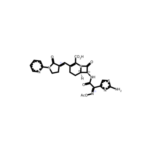 CC(=O)O/N=C(\C(=O)N[C@@H]1C(=O)N2C(C(=O)O)=C(/C=C3\CCN(c4ccccn4)C3=O)CC[C@H]12)c1csc(N)n1